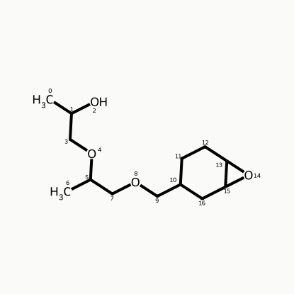 CC(O)COC(C)COCC1CCC2OC2C1